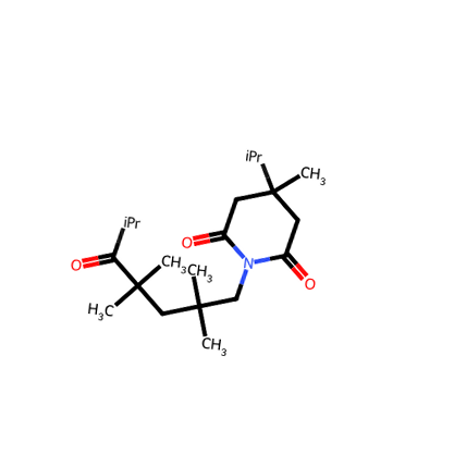 CC(C)C(=O)C(C)(C)CC(C)(C)CN1C(=O)CC(C)(C(C)C)CC1=O